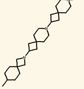 CC1CCC2(CC1)CN(C1CC3(CCN(C4CC5(CCNCC5)C4)CC3)C1)C2